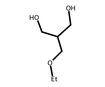 CCOCC(CO)CO